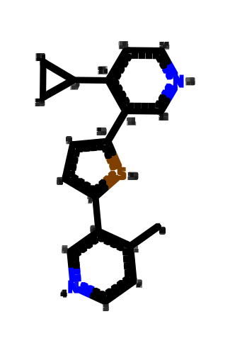 Cc1ccncc1-c1ccc(-c2cnccc2C2CC2)s1